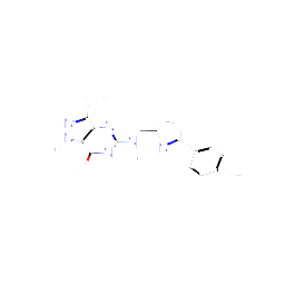 CCCc1nn(C)c2c(=O)[nH]c(N(C)CC3CSC(c4ccc(C(F)(F)F)cc4)=N3)nc12